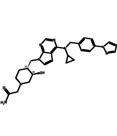 NC(=O)CN1CC[C@H](Cn2ccc3c(N(Cc4ccc(-n5cccn5)cc4)C4CC4)ncnc32)[C@@H](O)C1